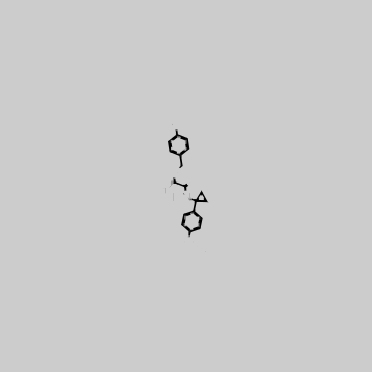 CC(C)[C@@H](OCc1ccc(C(F)(F)F)cc1)C(=O)NC1(c2ccc(C(=O)O)cc2)CC1